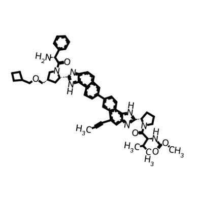 CC#Cc1cc2nc([C@@H]3CCCN3C(=O)[C@@H](NC(=O)OC)C(C)C)[nH]c2c2ccc(-c3ccc4c(ccc5nc([C@@H]6C[C@H](COCC7CCC7)CN6C(=O)[C@H](N)c6ccccc6)[nH]c54)c3)cc12